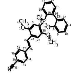 COc1cc(P2(=O)Oc3ccccc3-c3ccccc32)c(OC)cc1C=Cc1ccc(C#N)cc1